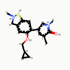 Cc1cc(-c2cc3c(cc2OCC2CC2)CN(C)S3)cn(C)c1=O